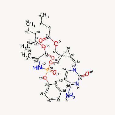 CCCC(=O)OCC1(COP(=O)(N[C@@H](C)C(=O)O[C@@H](C)CCC)Oc2ccccc2)C/C1=C/n1ccc(N)nc1=O